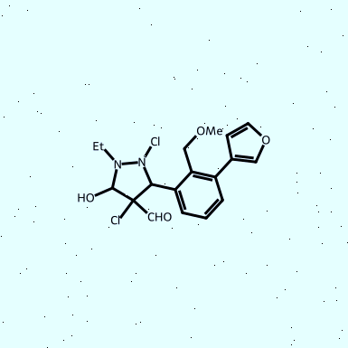 CCN1C(O)C(Cl)(C=O)C(c2cccc(-c3ccoc3)c2COC)N1Cl